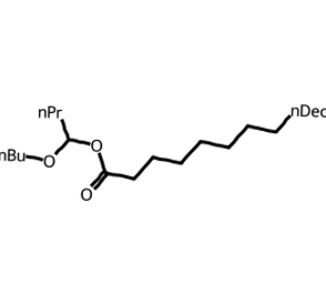 CCCCCCCCCCCCCCCCCC(=O)OC(CCC)OCCCC